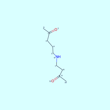 CC(=O)CCCNCCC(C)=O